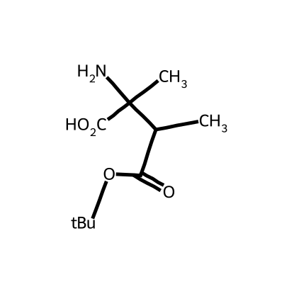 CC(C(=O)OC(C)(C)C)C(C)(N)C(=O)O